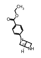 CCOC(=O)c1ccc(N2C[C@@H]3NCC32)cc1